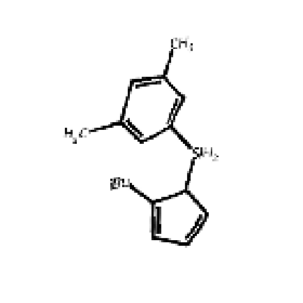 CCC(C)C1=CC=C[C]1[SiH2]c1cc(C)cc(C)c1